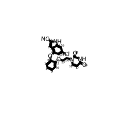 N#Cc1cc2c(Oc3ccccc3OCCn3ccc(=O)[nH]c3=O)cc(Cl)cc2[nH]1